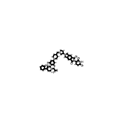 C[C@@H]1Cc2c([nH]c3ccccc23)[C@@H](c2c(F)cc(N3CCC(CN4CCC(N5Cc6cc7c(cc6C5)C(=O)N(C5CCC(=O)NC5=O)C7=O)C4)CC3)cc2F)N1CC(F)F